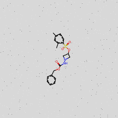 Cc1ccc(S(=O)(=O)OC2CN(NC(=O)OCc3ccccc3)C2)c(C)c1